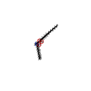 CCCCCCCCCCCCCCCCCC(=O)OCCN(C)C(=O)CCCCCCCCCCC